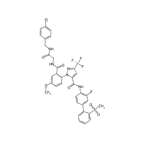 COc1ccc(-n2nc(C(F)(F)F)cc2C(=O)Nc2ccc(-c3ccccc3S(C)(=O)=O)cc2F)c(C(=O)NCC(=O)NCc2ccc(Cl)cc2)c1